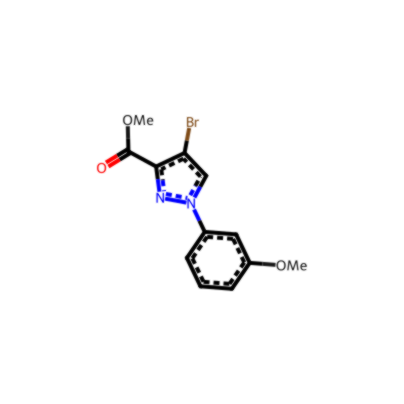 COC(=O)c1nn(-c2cccc(OC)c2)cc1Br